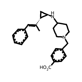 C/C(=C\c1ccccc1)[C@@H]1C[C@H]1NC1CCN(Cc2ccc(C(=O)O)cc2)CC1